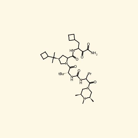 CC(C)C(NC(=O)N[C@@H](C(=O)N1C[C@@H](C(C)(C)C2CCC2)CC1C(=O)NC(CC1CCC1)C(=O)C(N)=O)C(C)(C)C)C(=O)N1C[C@@H](C)N(C)[C@@H](C)C1